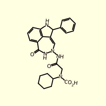 O=C(CN(C(=O)O)C1CCCCC1)NN1C=C2c3c(cccc3C(=O)N1)NC2c1ccccc1